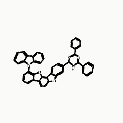 c1ccc(C2=NC(c3ccc4c(c3)oc3ccc5c6cccc(-n7c8ccccc8c8ccccc87)c6oc5c34)NC(c3ccccc3)=N2)cc1